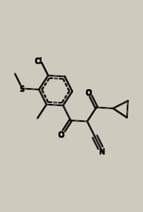 CSc1c(Cl)ccc(C(=O)C(C#N)C(=O)C2CC2)c1C